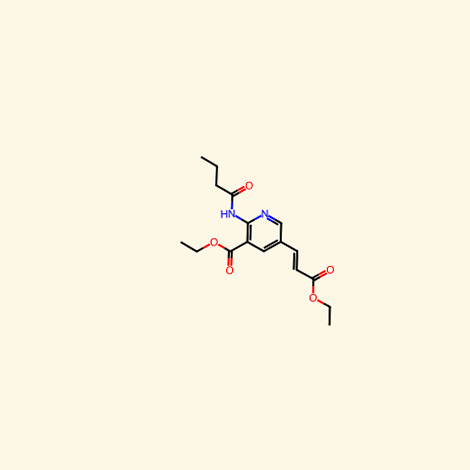 CCCC(=O)Nc1ncc(/C=C/C(=O)OCC)cc1C(=O)OCC